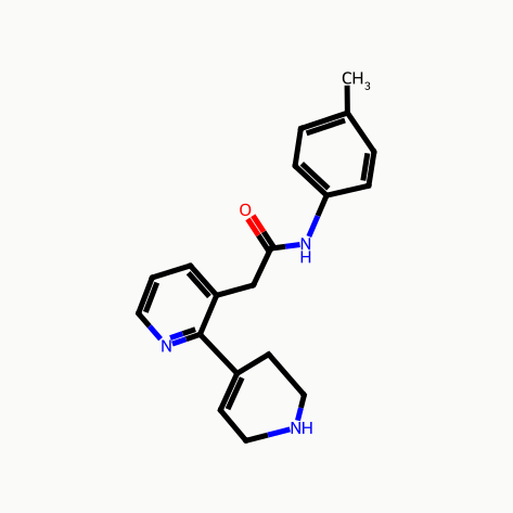 Cc1ccc(NC(=O)Cc2cccnc2C2=CCNCC2)cc1